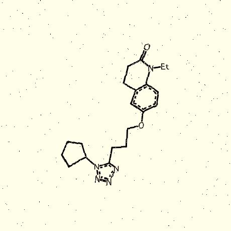 CCN1C(=O)CCc2cc(OCCCc3nnnn3C3CCCC3)ccc21